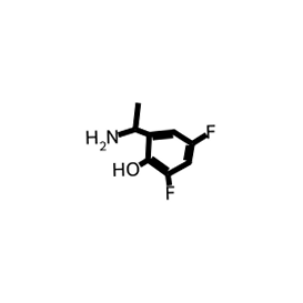 CC(N)c1cc(F)cc(F)c1O